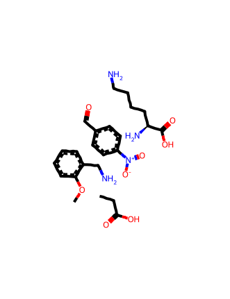 CCC(=O)O.COc1ccccc1CN.NCCCC[C@H](N)C(=O)O.O=Cc1ccc([N+](=O)[O-])cc1